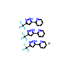 FC(F)(F)c1cc(-c2ccccn2)[nH]n1.FC(F)(F)c1cc(-c2ccccn2)[nH]n1.FC(F)(F)c1cc(-c2ccccn2)[nH]n1.[Ir]